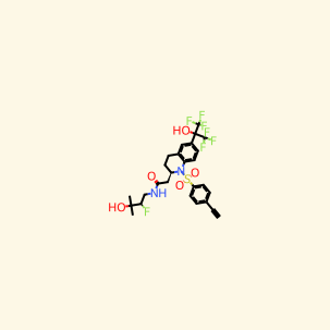 C#Cc1ccc(S(=O)(=O)N2c3ccc(C(O)(C(F)(F)F)C(F)(F)F)cc3CC[C@@H]2CC(=O)NC[C@@H](F)C(C)(C)O)cc1